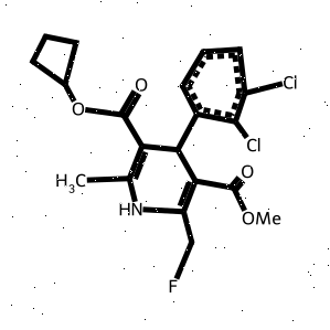 COC(=O)C1=C(CF)NC(C)=C(C(=O)OC2CCC2)C1c1cccc(Cl)c1Cl